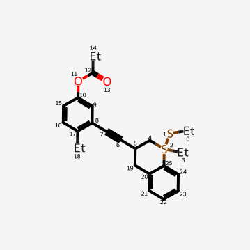 CCSS1(CC)CC(C#Cc2cc(OC(=O)CC)ccc2CC)Cc2ccccc21